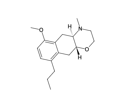 CCCc1ccc(OC)c2c1C[C@H]1OCCN(C)[C@@H]1C2